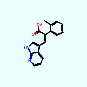 Cc1ccccc1/C(=C/c1c[nH]c2ncccc12)C(=O)O